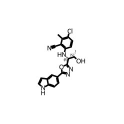 Cc1c(Cl)ccc(N[C@@H](c2nnc(-c3ccc4[nH]ccc4c3)o2)[C@H](C)O)c1C#N